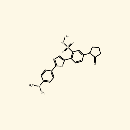 CN(C)c1ccc(-c2ncc(-c3ccc(N4CCCC4=O)cc3S(=O)(=O)NC(C)(C)C)s2)cc1